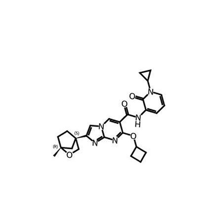 C[C@]12CC[C@](c3cn4cc(C(=O)Nc5cccn(C6CC6)c5=O)c(OC5CCC5)nc4n3)(CO1)C2